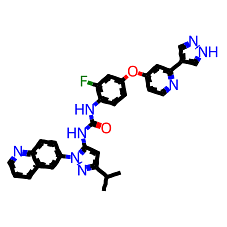 CC(C)c1cc(NC(=O)Nc2ccc(Oc3ccnc(-c4cn[nH]c4)c3)cc2F)n(-c2ccc3ncccc3c2)n1